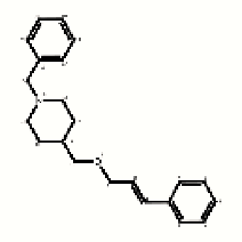 C(=Cc1ccccc1)COCC1CCN(Cc2ccccc2)CC1